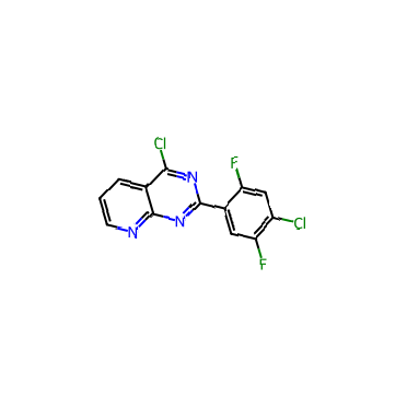 Fc1cc(-c2nc(Cl)c3cccnc3n2)c(F)cc1Cl